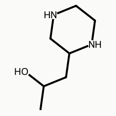 CC(O)CC1CNCCN1